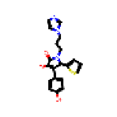 O=C1C(O)=C(c2ccc(O)cc2)C(c2cccs2)N1CCCn1ccnc1